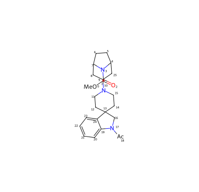 COC(=O)N1C2CCC1CC(N1CCC3(CC1)CN(C(C)=O)c1ccccc13)C2